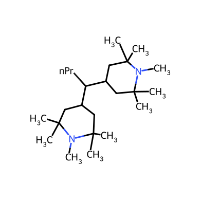 [CH2]CCC(C1CC(C)(C)N(C)C(C)(C)C1)C1CC(C)(C)N(C)C(C)(C)C1